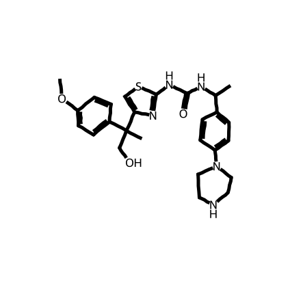 COc1ccc(C(C)(CO)c2csc(NC(=O)NC(C)c3ccc(N4CCNCC4)cc3)n2)cc1